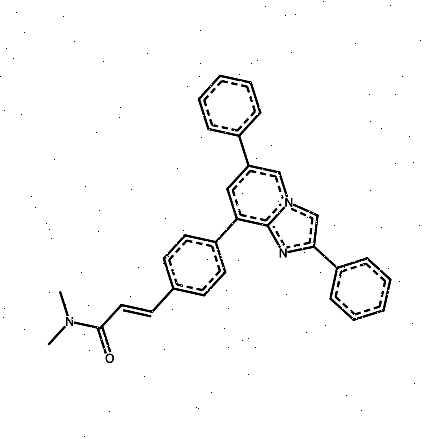 CN(C)C(=O)C=Cc1ccc(-c2cc(-c3ccccc3)cn3cc(-c4ccccc4)nc23)cc1